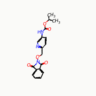 CC(C)OC(=O)Nc1ccc(CON2C(=O)c3ccccc3C2=O)nc1